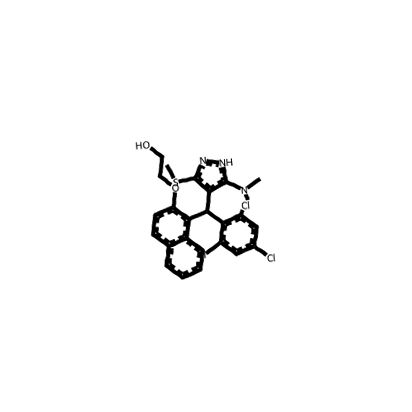 CSc1n[nH]c(N(C)C)c1C(c1c(Cl)cc(Cl)cc1Cl)c1c(OCCO)ccc2ccccc12